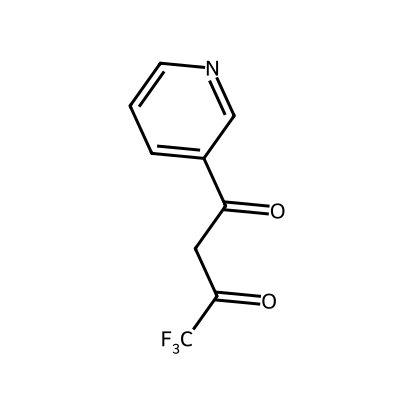 O=C(CC(=O)C(F)(F)F)c1cccnc1